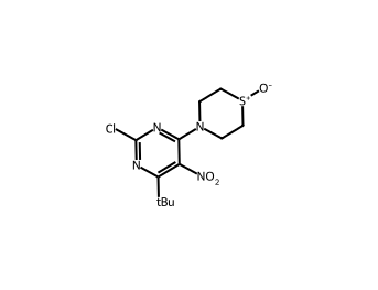 CC(C)(C)c1nc(Cl)nc(N2CC[S+]([O-])CC2)c1[N+](=O)[O-]